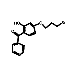 O=C(c1ccccc1)c1ccc(OCCCBr)cc1O